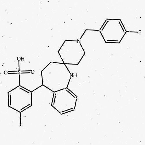 Cc1ccc(S(=O)(=O)O)c(C2CCC3(CCN(Cc4ccc(F)cc4)CC3)Nc3ccccc32)c1